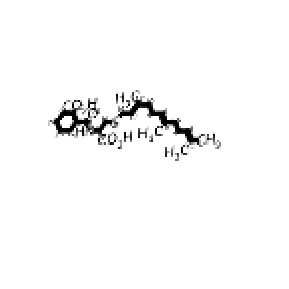 CC(C)=CCC/C(C)=C/CC/C(C)=C/CSC[C@H](NC(=O)C1CCCCC1C(=O)O)C(=O)O